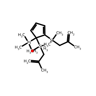 C=C(C)C[Si](C)(C)C1=CC=C[C]1([Si](C)(C)CC(=C)C)[Pt]([CH3])([CH3])[CH3]